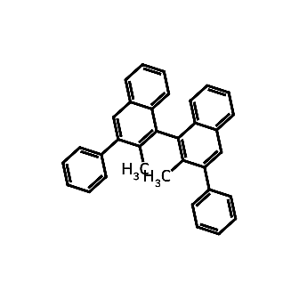 Cc1c(-c2ccccc2)cc2ccccc2c1-c1c(C)c(-c2ccccc2)cc2ccccc12